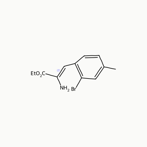 CCOC(=O)/C(N)=C/c1ccc(C)cc1Br